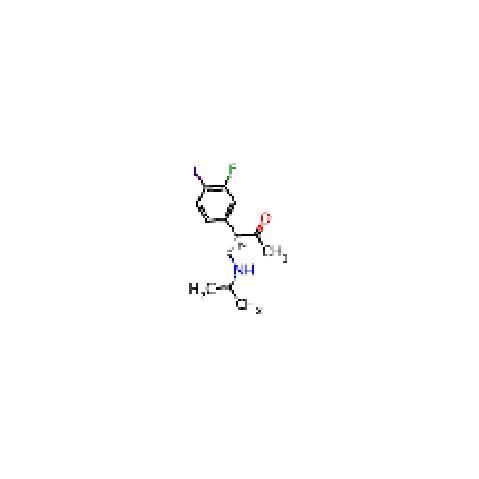 CC(=O)[C@H](CNC(C)C)c1ccc(I)c(F)c1